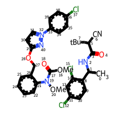 CC(NC(=O)C(C#N)C(C)(C)C)c1ccc(Cl)cc1Cl.COC(=O)N(OC)c1ccccc1COc1ccn(-c2ccc(Cl)cc2)n1